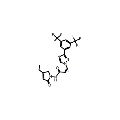 CCC1=CC(=O)N(NC(=O)/C=C\n2cnc(-c3cc(C(F)(F)F)cc(C(F)(F)F)c3)n2)C1